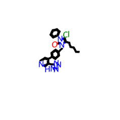 CCCCCc1c(Cl)n(-c2ccccc2)c(=O)n1Cc1ccc(-c2ccncc2-c2nnn[nH]2)cc1